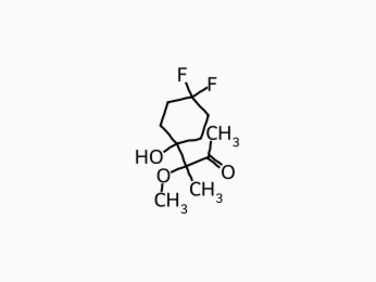 COC(C)(C(C)=O)C1(O)CCC(F)(F)CC1